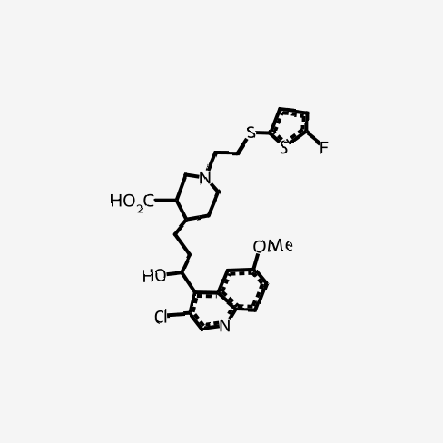 COc1ccc2ncc(Cl)c(C(O)CCC3CCN(CCSc4ccc(F)s4)CC3C(=O)O)c2c1